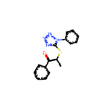 CC(Sc1nnnn1-c1ccccc1)C(=O)c1ccccc1